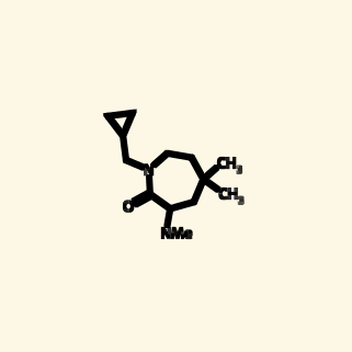 CNC1CC(C)(C)CCN(CC2CC2)C1=O